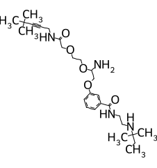 CCC(C)(C)NCCNC(=O)c1cccc(OCC(N)OCCOCC(=O)NCC#CC(C)(C)C)c1